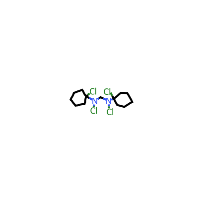 ClN(CN(Cl)C1(Cl)CCCCC1)C1(Cl)CCCCC1